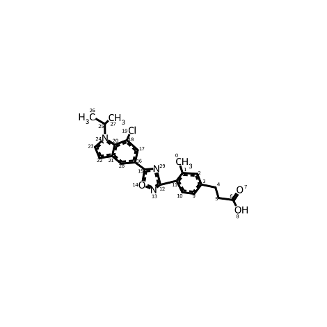 Cc1cc(CCC(=O)O)ccc1-c1noc(-c2cc(Cl)c3c(ccn3C(C)C)c2)n1